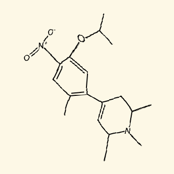 Cc1cc([N+](=O)[O-])c(OC(C)C)cc1C1=CC(C)N(C)C(C)C1